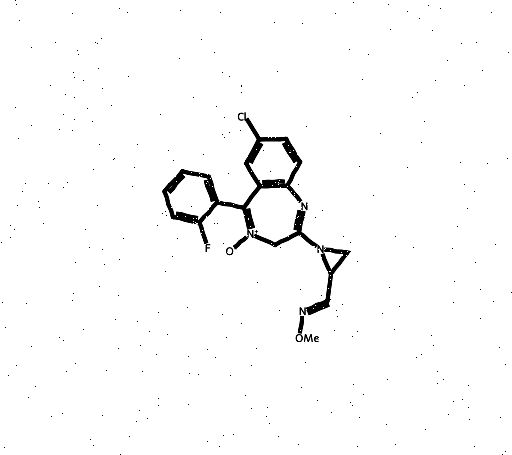 CON=CC1CN1C1=Nc2ccc(Cl)cc2C(c2ccccc2F)=[N+]([O-])C1